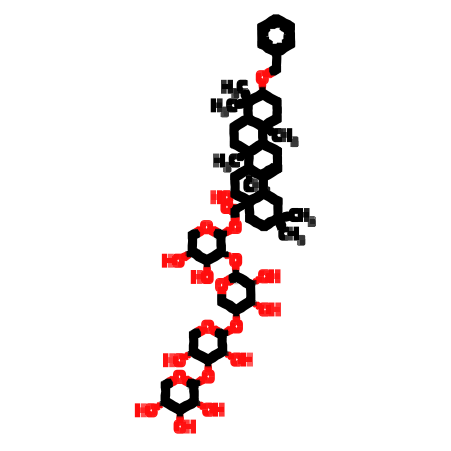 CC1(C)CC[C@@]2(C(=O)O[C@@H]3OC[C@H](O)[C@H](O)[C@H]3O[C@@H]3OC[C@H](O[C@@H]4OC[C@@H](O)[C@H](O[C@@H]5OC[C@@H](O)[C@H](O)[C@H]5O)[C@H]4O)[C@@H](O)[C@H]3O)C(C1)C1=CCC3[C@@]4(C)CC[C@H](OCc5ccccc5)C(C)(C)C4CC[C@@]3(C)[C@]1(C)C[C@H]2O